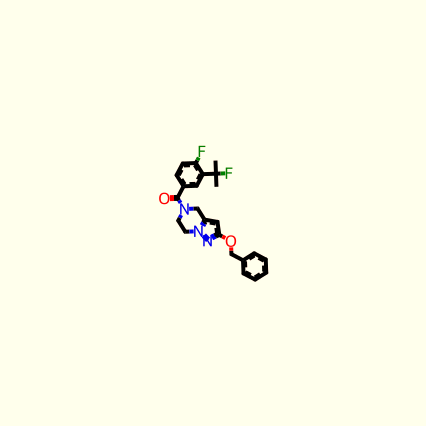 CC(C)(F)c1cc(C(=O)N2CCn3nc(OCc4ccccc4)cc3C2)ccc1F